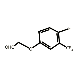 O=CCOc1ccc(F)c(C(F)(F)F)c1